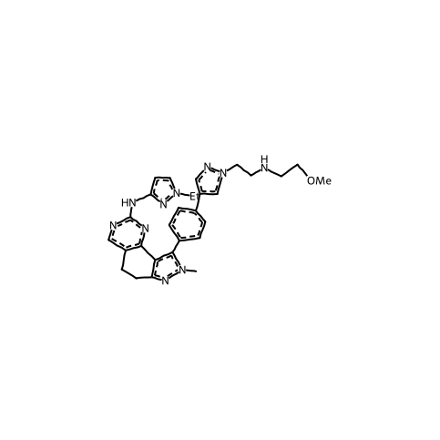 CCn1ccc(Nc2ncc3c(n2)-c2c(nn(C)c2-c2ccc(-c4cnn(CCNCCOC)c4)cc2)CC3)n1